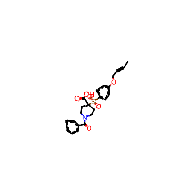 CC#CCOc1ccc(S(=O)(=O)C2(C(=O)O)CCN(C(=O)c3ccccc3)CC2)cc1